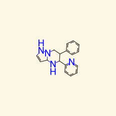 C1=CC2NC(c3ccccn3)C(c3ccccc3)CN2N1